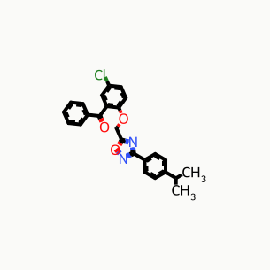 CC(C)c1ccc(-c2noc(COc3ccc(Cl)cc3C(=O)c3ccccc3)n2)cc1